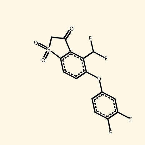 O=C1CS(=O)(=O)c2ccc(Oc3ccc(F)c(F)c3)c(C(F)F)c21